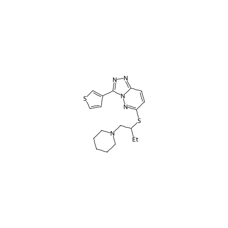 CCC(CN1CCCCC1)Sc1ccc2nnc(-c3ccsc3)n2n1